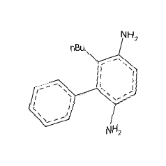 CCCCc1c(N)ccc(N)c1-c1ccccc1